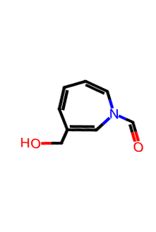 O=CN1C=CC=CC(CO)=C1